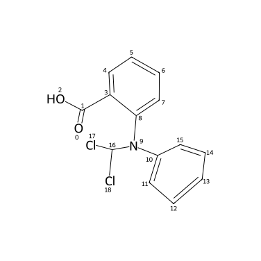 O=C(O)c1ccccc1N(c1ccccc1)C(Cl)Cl